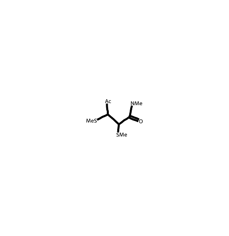 CNC(=O)C(SC)C(SC)C(C)=O